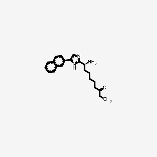 CCC(=O)CCCCC[C@H](N)c1ncc(-c2ccc3ccccc3c2)[nH]1